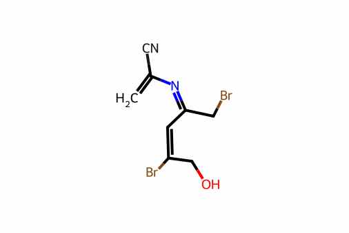 C=C(C#N)/N=C(\C=C(\Br)CO)CBr